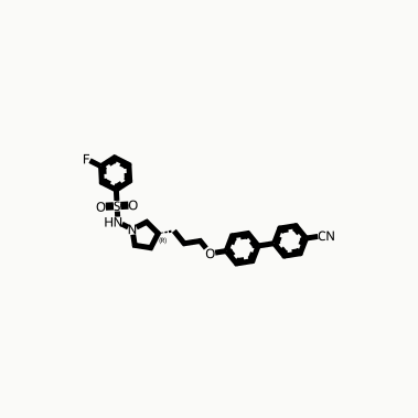 N#Cc1ccc(-c2ccc(OCCC[C@@H]3CCN(NS(=O)(=O)c4cccc(F)c4)C3)cc2)cc1